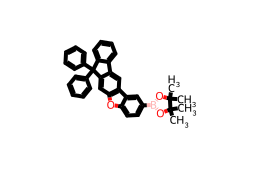 CC1(C)OB(c2ccc3oc4cc5c(cc4c3c2)-c2ccccc2C5(c2ccccc2)c2ccccc2)OC1(C)C